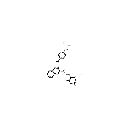 CCCN(CCC)S(=O)(=O)c1ccc(C(=O)Nc2cc3ccccc3cc2C(=O)NCc2c(OC)cc(OC)cc2OC)cc1